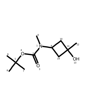 CN(C(=O)OC(C)(C)C)C1CC(C)(O)C1